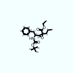 CCCC1(C(=O)OCC)OC1C(Cc1ccccc1)NC(=O)OC(C)(C)C